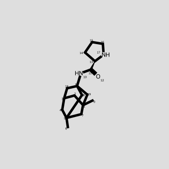 CC12CC3CC(C)(C1)CC(NC(=O)[C@H]1CCCN1)(C3)C2